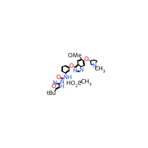 CC(=O)O.COc1cc2c(Oc3cccc(NC(=O)Nc4cc(C(C)(C)C)on4)c3)ncnc2cc1O[C@H]1CCN(C)C1